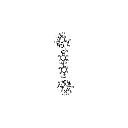 CN(CC(O)COc1ccc(C(C)(C)c2ccc(OCC(O)CN(C)C3CC(C)(C)N(C)C(C)(C)C3)cc2)cc1)C1CC(C)(C)N(C)C(C)(C)C1